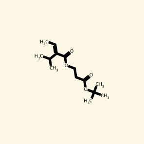 C/C=C(/C(=O)OCCC(=O)OC(C)(C)C)C(C)C